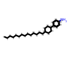 CCCCCCCCCCCCCCC1CCC(c2ccc(N)cc2)CC1